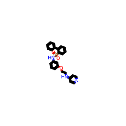 O=S(=O)(Nc1cccc(OCCNc2ccncc2)c1)c1ccccc1-c1ccccc1